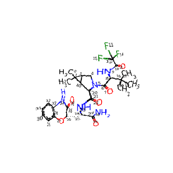 CC1(C)C2CN(C(=O)[C@@H](NC(=O)C(F)(F)F)C(C)(C)C)C(C(=O)N[C@@H](C[C@@H]3Oc4ccccc4NC3=O)C(N)=O)C21